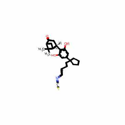 CC1(C)C2CC1[C@H](c1c(O)cc(C3(CCCCN=C=S)CCCC3)cc1O)CC2=O